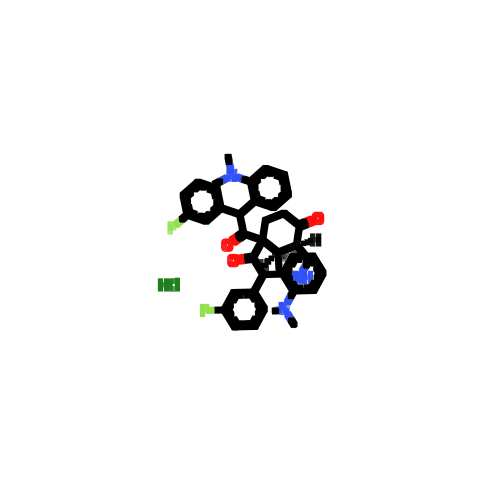 CN(C)c1ccccc1C(C(=O)C1(C(=O)C(c2cccc(F)c2)c2ccccc2N(C)C)CCC(=O)[C@H]2CNC[C@H]21)c1cccc(F)c1.Cl